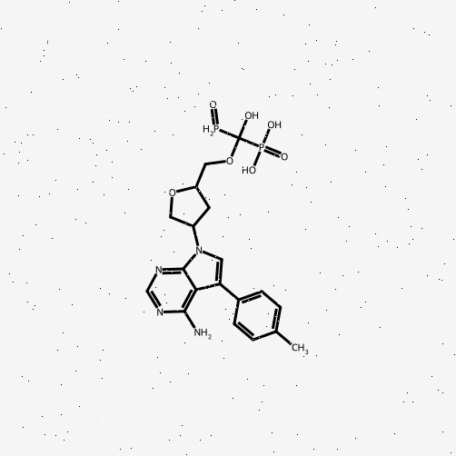 Cc1ccc(-c2cn(C3COC(COC(O)([PH2]=O)P(=O)(O)O)C3)c3ncnc(N)c23)cc1